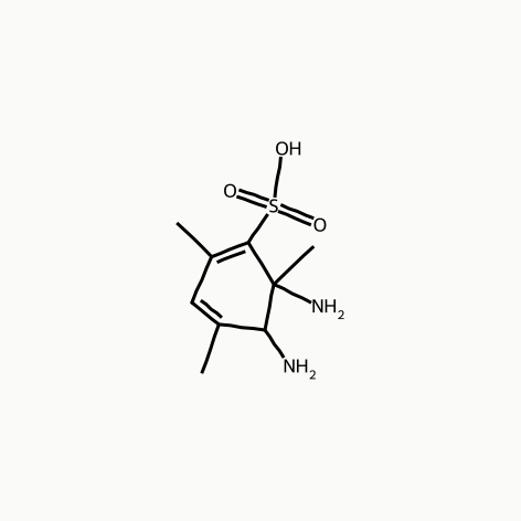 CC1=CC(C)=C(S(=O)(=O)O)C(C)(N)C1N